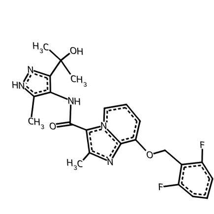 Cc1nc2c(OCc3c(F)cccc3F)cccn2c1C(=O)Nc1c(C(C)(C)O)n[nH]c1C